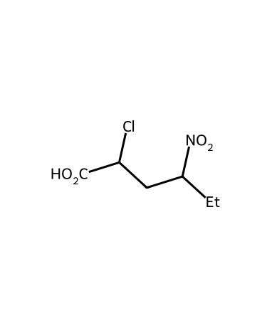 CCC(CC(Cl)C(=O)O)[N+](=O)[O-]